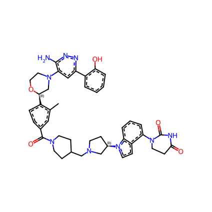 Cc1cc(C(=O)N2CCC(CN3CC[C@@H](n4ccc5c(N6CCC(=O)NC6=O)cccc54)C3)CC2)ccc1[C@@H]1CN(c2cc(-c3ccccc3O)nnc2N)CCO1